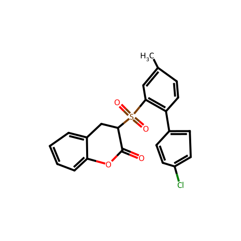 Cc1ccc(-c2ccc(Cl)cc2)c(S(=O)(=O)C2Cc3ccccc3OC2=O)c1